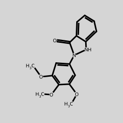 COc1cc(-n2[nH]c3ccccc3c2=O)cc(OC)c1OC